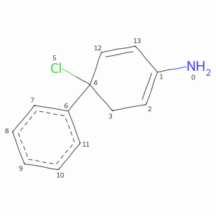 NC1=CCC(Cl)(c2ccccc2)C=C1